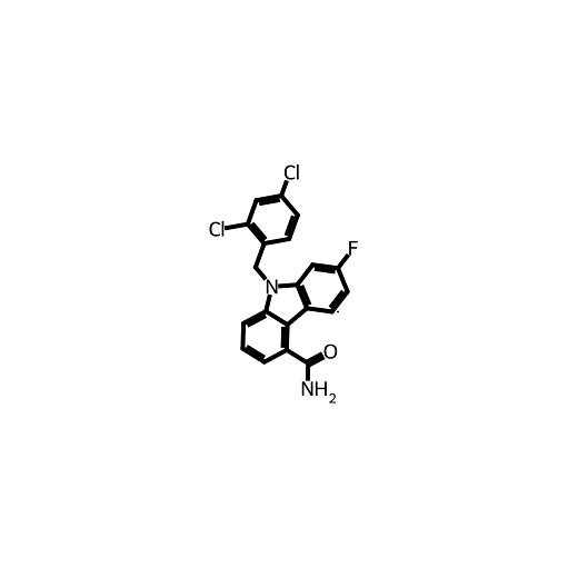 NC(=O)c1cccc2c1c1[c]cc(F)cc1n2Cc1ccc(Cl)cc1Cl